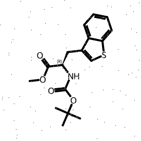 COC(=O)[C@@H](Cc1csc2ccccc12)NC(=O)OC(C)(C)C